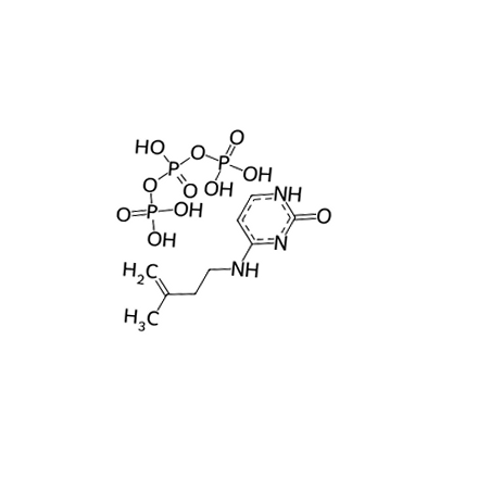 C=C(C)CCNc1cc[nH]c(=O)n1.O=P(O)(O)OP(=O)(O)OP(=O)(O)O